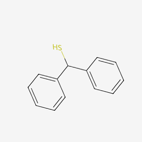 SC(c1ccccc1)c1ccccc1